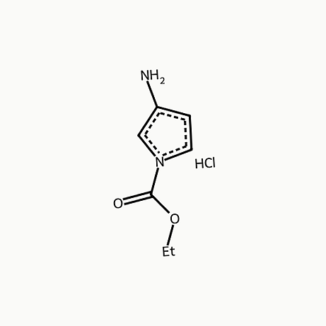 CCOC(=O)n1ccc(N)c1.Cl